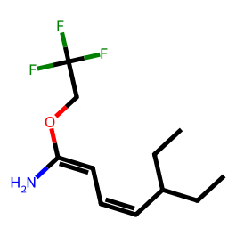 CCC(/C=C\C=C(/N)OCC(F)(F)F)CC